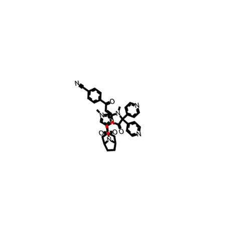 CN1C(=CC(=O)c2ccc(C#N)cc2)N(CC2CC3CCC(C2)N3S(=O)(=O)c2cn(C)cn2)C(=O)C1(c1ccncc1)c1ccncc1